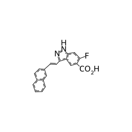 O=C(O)c1cc2c(C=Cc3ccc4ccccc4c3)n[nH]c2cc1F